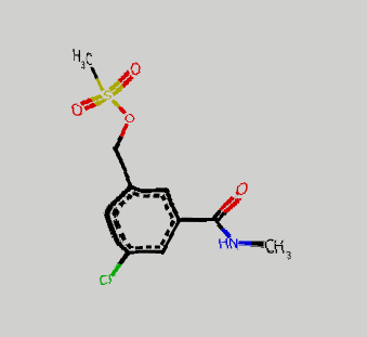 CNC(=O)c1cc(Cl)cc(COS(C)(=O)=O)c1